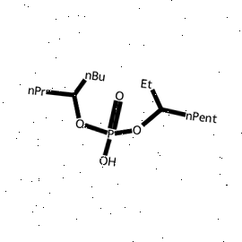 CCCCCC(CC)OP(=O)(O)OC(CCC)CCCC